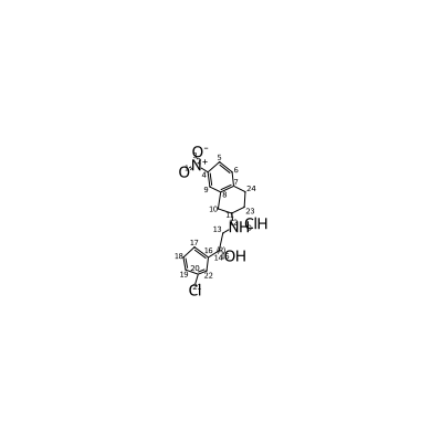 Cl.O=[N+]([O-])c1ccc2c(c1)CC(NC[C@H](O)c1cccc(Cl)c1)CC2